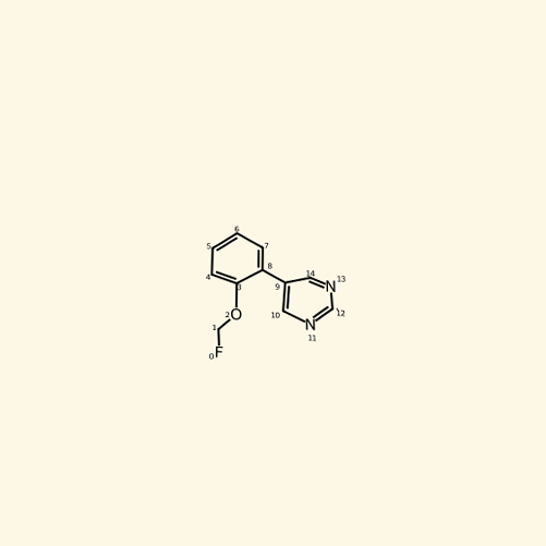 FCOc1ccccc1-c1cn[c]nc1